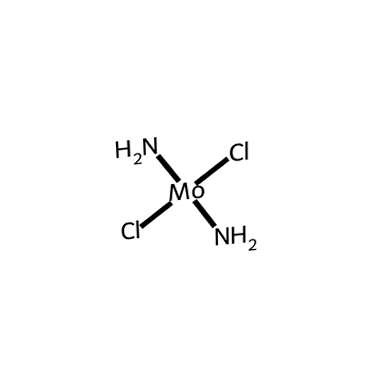 [NH2][Mo]([NH2])([Cl])[Cl]